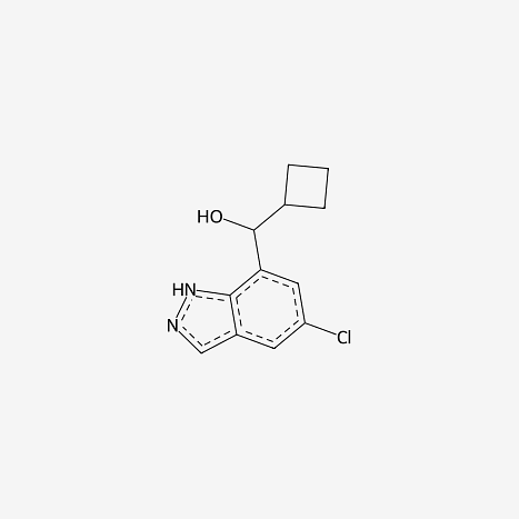 OC(c1cc(Cl)cc2cn[nH]c12)C1CCC1